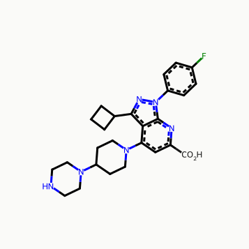 O=C(O)c1cc(N2CCC(N3CCNCC3)CC2)c2c(C3CCC3)nn(-c3ccc(F)cc3)c2n1